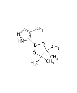 CC1(C)OB(c2[nH]ncc2C(F)(F)F)OC1(C)C